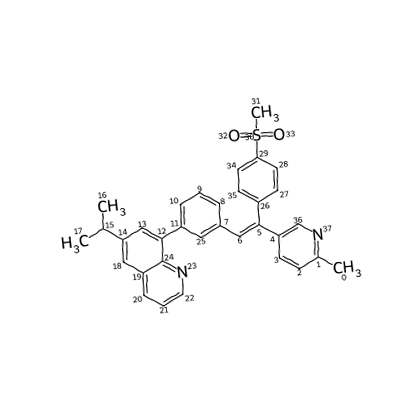 Cc1ccc(/C(=C/c2cccc(-c3cc(C(C)C)cc4cccnc34)c2)c2ccc(S(C)(=O)=O)cc2)cn1